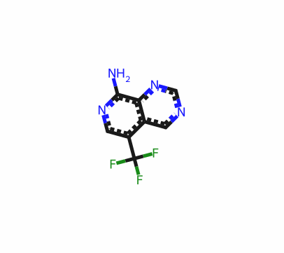 Nc1ncc(C(F)(F)F)c2cncnc12